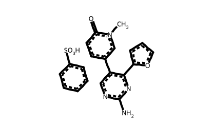 Cn1cc(-c2cnc(N)nc2-c2ccco2)ccc1=O.O=S(=O)(O)c1ccccc1